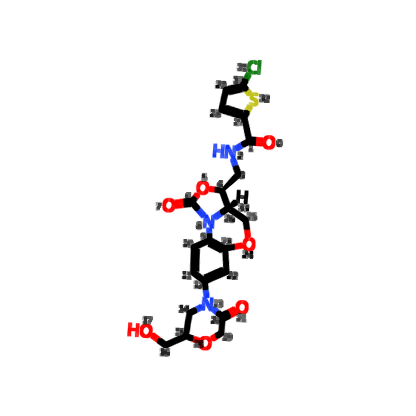 O=C(NC[C@@H]1OC(=O)N2c3ccc(N4CC(CO)OCC4=O)cc3OC[C@@H]12)c1ccc(Cl)s1